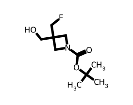 CC(C)(C)OC(=O)N1CC(CO)(CF)C1